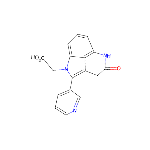 O=C(O)Cn1c(-c2cccnc2)c2c3c(cccc31)NC(=O)C2